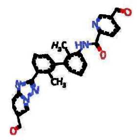 Cc1c(NC(=O)c2ccc(C=O)cn2)cccc1-c1cccc(-c2nc3ccc(C=O)cn3n2)c1C